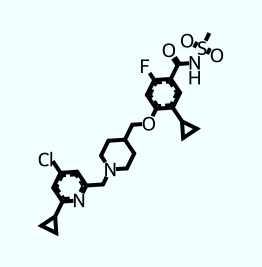 CS(=O)(=O)NC(=O)c1cc(C2CC2)c(OCC2CCN(Cc3cc(Cl)cc(C4CC4)n3)CC2)cc1F